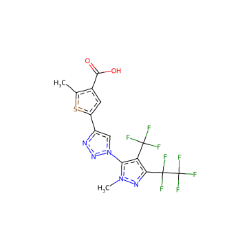 Cc1sc(-c2cn(-c3c(C(F)(F)F)c(C(F)(F)C(F)(F)F)nn3C)nn2)cc1C(=O)O